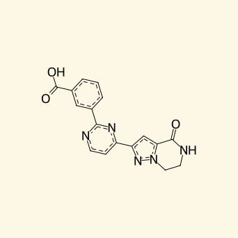 O=C(O)c1cccc(-c2nccc(-c3cc4n(n3)CCNC4=O)n2)c1